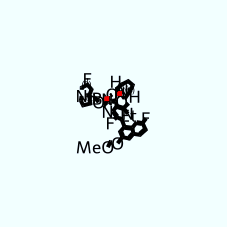 CCc1c(F)ccc2cc(OCOC)cc(-c3nc(C)c4c(N5C[C@H]6CC[C@@H](C5)N6C(=O)OC(C)(C)C)nc(OC[C@@]56CCCN5C[C@H](F)C6)nc4c3F)c12